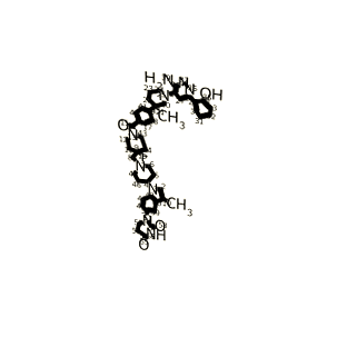 Cc1cn(C2CCN(CC3(F)CCN(C(=O)c4ccc([C@@]5(C)CCCN(c6cc(-c7ccccc7O)nnc6N)C5)cc4)CC3)CC2)c2ccc(N3CCC(=O)NC3=O)cc12